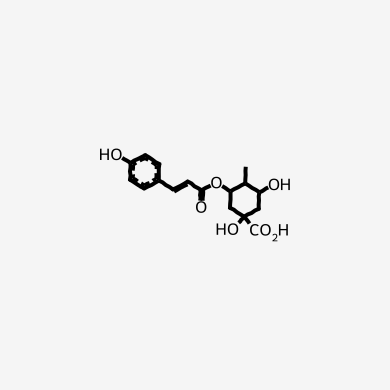 CC1C(O)CC(O)(C(=O)O)CC1OC(=O)/C=C/c1ccc(O)cc1